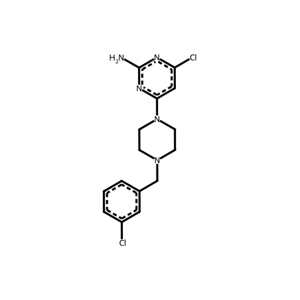 Nc1nc(Cl)cc(N2CCN(Cc3cccc(Cl)c3)CC2)n1